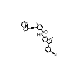 Cc1ccc(C(=O)Nc2ccc3c(-c4cccc(C#N)c4)cn(C)c3c2)cc1C#Cc1cnc2cccnn12